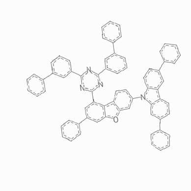 c1ccc(-c2cccc(-c3nc(-c4cccc(-c5ccccc5)c4)nc(-c4cc(-c5ccccc5)cc5oc6cc(-n7c8ccc(-c9ccccc9)cc8c8ccc(-c9ccccc9)cc87)ccc6c45)n3)c2)cc1